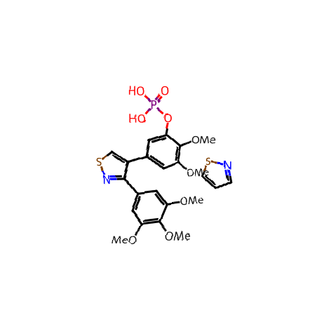 COc1cc(-c2nscc2-c2cc(OC)c(OC)c(OP(=O)(O)O)c2)cc(OC)c1OC.c1cnsc1